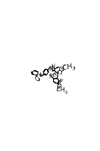 COCc1nn(Cc2ccc(Cn3ccccc3=O)cc2)cc1C(=O)NCc1c(C#N)ccc(OC)c1F